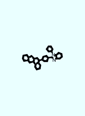 c1ccc(-n2c(-c3ccc(-c4cc5cc6ccccc6cc5c5ccccc45)cc3)nc3ccccc32)cc1